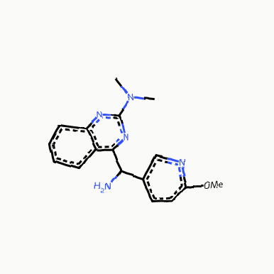 COc1ccc(C(N)c2nc(N(C)C)nc3ccccc23)cn1